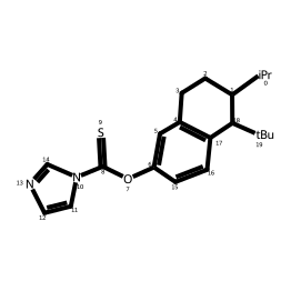 CC(C)C1CCc2cc(OC(=S)n3ccnc3)ccc2C1C(C)(C)C